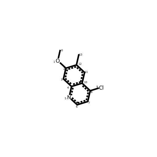 COc1cc2nccc(Cl)c2cc1C